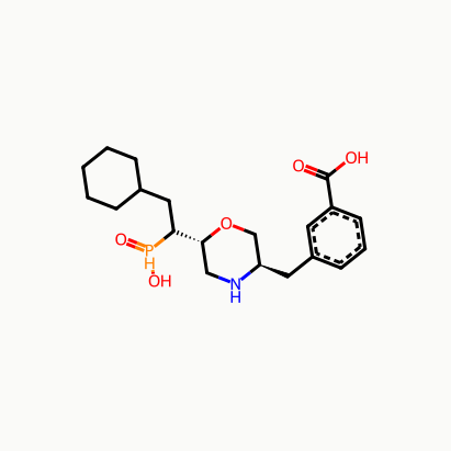 O=C(O)c1cccc(C[C@@H]2CO[C@@H](C(CC3CCCCC3)[PH](=O)O)CN2)c1